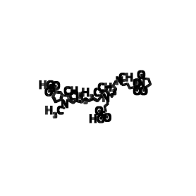 CCN1/C(=C/C=C/C=C/C=C/C2=[N+](CCCS(=O)(=O)O)c3ccc(CN(C)CCCC(=O)ON4C(=O)CCC4=O)cc3C2(C)C)C(C)(C)c2cc(S(=O)(=O)O)ccc21